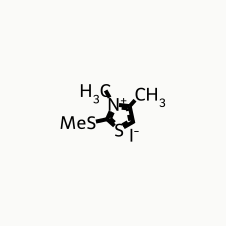 CSc1scc(C)[n+]1C.[I-]